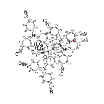 [C-]#[N+]c1ccc(N(c2ccc(C#N)cc2)c2ccc3c(c2)C(C(C)(C)C)(C2(C(C)(C)C)c4cc(N(c5ccc(C#N)cc5)c5ccc([N+]#[C-])cc5)ccc4-c4ccc(N(c5ccc(C#N)cc5)c5ccc([N+]#[C-])cc5)cc42)c2cc(N(c4ccc(C#N)cc4)c4ccc([N+]#[C-])cc4)ccc2-3)cc1